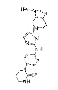 CC(C)n1cnc2c1CN(c1ccnc(Nc3ccc(N4CCCNC4=O)cn3)n1)CC2